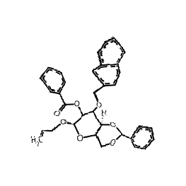 C=CCO[C@@H]1OC2COC(c3ccccc3)O[C@@H]2C(OCc2ccc3ccccc3c2)C1OC(=O)c1ccccc1